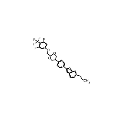 CCCc1ccc2cc(-c3ccc(C4COC(COc5cc(F)c(C(F)(F)F)c(F)c5)OC4)cc3)sc2c1